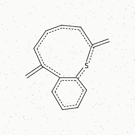 C=c1ccccc(=C)c2ccccc2s1